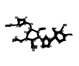 CO[C@@H]1[C@@H](n2cc(-c3ccc(C)c(F)c3F)nn2)[C@@H](O)[C@@H](CO)O[C@@H]1Cc1cn(C(C)(C)C)nn1